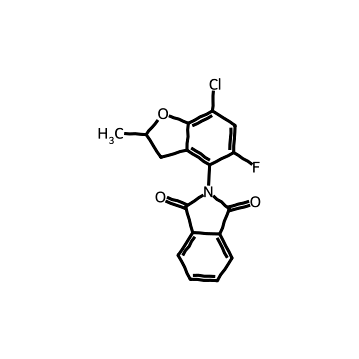 CC1Cc2c(c(Cl)cc(F)c2N2C(=O)c3ccccc3C2=O)O1